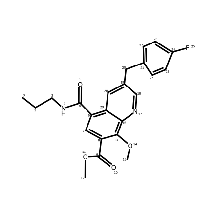 CCCNC(=O)c1cc(C(=O)OC)c(OC)c2ncc(Cc3ccc(F)cc3)cc12